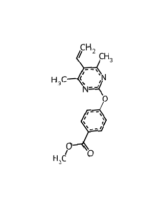 C=Cc1c(C)nc(Oc2ccc(C(=O)OC)cc2)nc1C